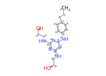 CCCc1ccc(Nc2nc(NCCO)nc(NCCO)n2)cc1